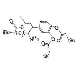 CCC(C)CC(=O)OC(C)CC(c1ccc(OC(=O)CC(C)(C)C)c(OC(=O)CC(C)(C)C)c1)[C@H](N)C(=O)O